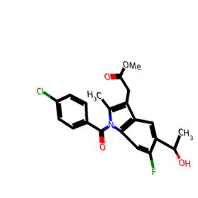 COC(=O)Cc1c(C)n(C(=O)c2ccc(Cl)cc2)c2cc(F)c(C(C)O)cc12